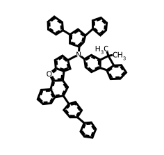 CC1(C)c2ccccc2-c2ccc(N(c3cc(-c4ccccc4)cc(-c4ccccc4)c3)c3ccc4oc5c6ccccc6c(-c6ccc(-c7ccccc7)cc6)cc5c4c3)cc21